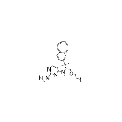 CN(c1ccnc(N)n1)C(COCCI)C(C)(C)c1ccc2/c(c1)=C\C=C/C=C\C=2